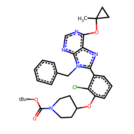 CC(C)(C)OC(=O)N1CCC(Oc2cccc(-c3nc4c(OC5(C)CC5)ncnc4n3Cc3ccccc3)c2Cl)CC1